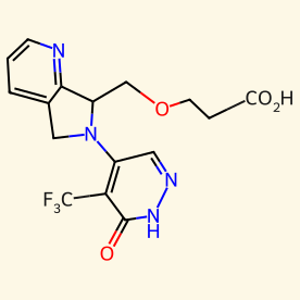 O=C(O)CCOCC1c2ncccc2CN1c1cn[nH]c(=O)c1C(F)(F)F